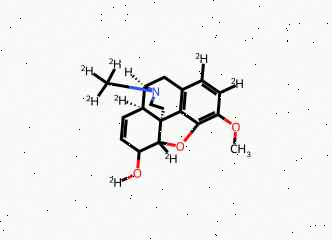 [2H]OC1C=C[C@@]2([2H])[C@H]3Cc4c([2H])c([2H])c(OC)c5c4[C@@]2(CCN3C([2H])([2H])[2H])C1([2H])O5